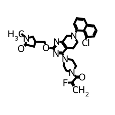 C=C(F)C(=O)N1CCN(c2nc(OCC3CC(=O)N(C)C3)nc3c2CCN(c2cccc4cccc(Cl)c24)C3)CC1